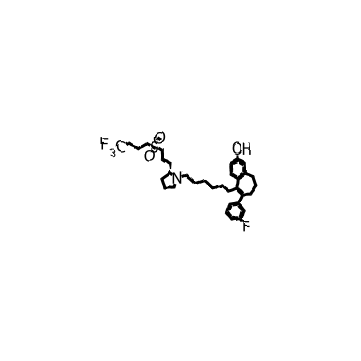 O=S(=O)(CCC[C@@H]1CCCN1CCCCCCC1=C(c2cccc(F)c2)CCCc2cc(O)ccc21)CCCC(F)(F)F